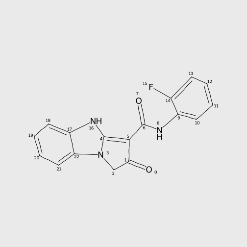 O=C1CN2C(=C1C(=O)Nc1ccccc1F)Nc1ccccc12